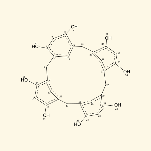 Oc1cc(O)c2cc1Cc1cc(c(O)cc1O)Cc1cc(c(O)cc1O)Cc1cc(c(O)cc1O)C2